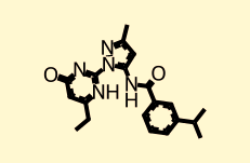 CCc1cc(=O)nc(-n2nc(C)cc2NC(=O)c2cccc(C(C)C)c2)[nH]1